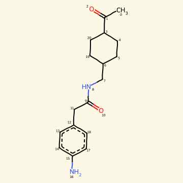 CC(=O)C1CCC(CNC(=O)Cc2ccc(N)cc2)CC1